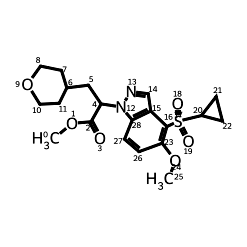 COC(=O)C(CC1CCOCC1)n1ncc2c(S(=O)(=O)C3CC3)c(OC)ccc21